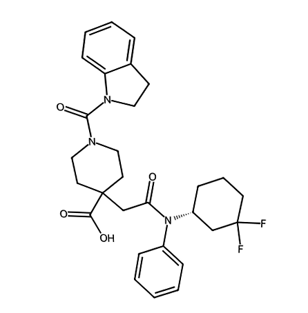 O=C(N1CCC(CC(=O)N(c2ccccc2)[C@@H]2CCCC(F)(F)C2)(C(=O)O)CC1)N1CCc2ccccc21